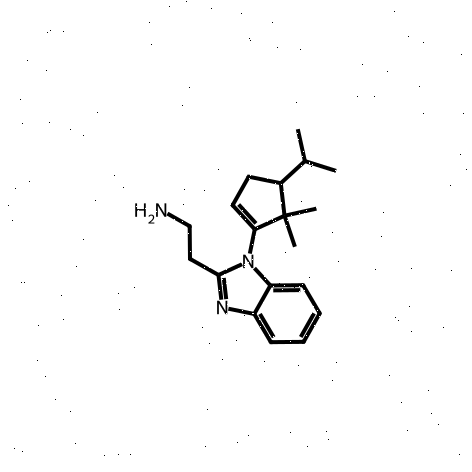 CC(C)C1CC=C(n2c(CCN)nc3ccccc32)C1(C)C